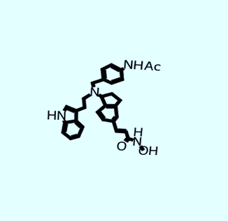 CC(=O)Nc1ccc(CN(CCc2c[nH]c3ccccc23)C2CCc3cc(C=CC(=O)NO)ccc32)cc1